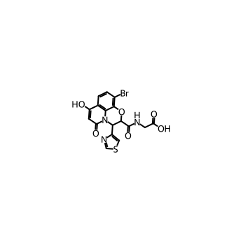 O=C(O)CNC(=O)C1Oc2c(Br)ccc3c(O)cc(=O)n(c23)C1c1cscn1